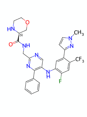 Cn1ccc(-c2cc(Nc3cnc(CNC(=O)[C@@H]4COCCN4)nc3-c3ccccc3)c(F)cc2C(F)(F)F)n1